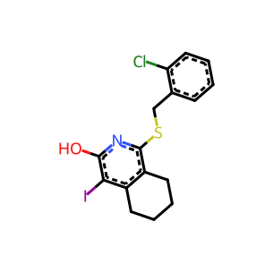 Oc1nc(SCc2ccccc2Cl)c2c(c1I)CCCC2